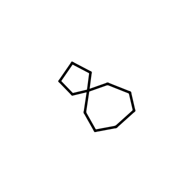 C1CCCC2(CC1)CCCC2